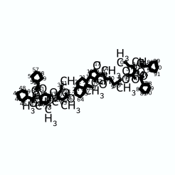 CCC1O[C@@H](OC[C@@H](C)CCC(=O)[C@@H](C)C2C(=O)CC3C4CCC5CC(O[C@@H]6OC(CC)[C@@H](O[C@@H]7OC(C)[C@H](C)[C@H](OC(=O)c8ccccc8)C7OC(=O)c7ccccc7)[C@H](C)C6C)CCC5(C)C4CCC32C)C(OC(=O)c2ccccc2)[C@@H](OC(=O)c2ccccc2)[C@@H]1C